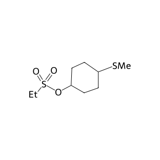 CCS(=O)(=O)OC1CCC(SC)CC1